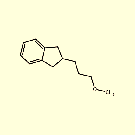 COCCCC1Cc2ccccc2C1